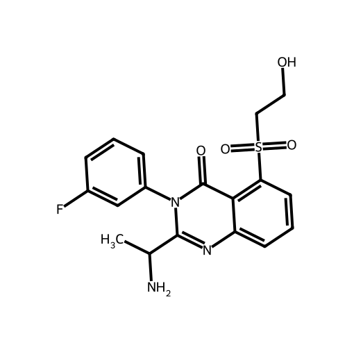 CC(N)c1nc2cccc(S(=O)(=O)CCO)c2c(=O)n1-c1cccc(F)c1